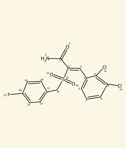 NC(=O)/C(=C/c1cccc(Cl)c1Cl)S(=O)(=O)Cc1ccc(F)cc1